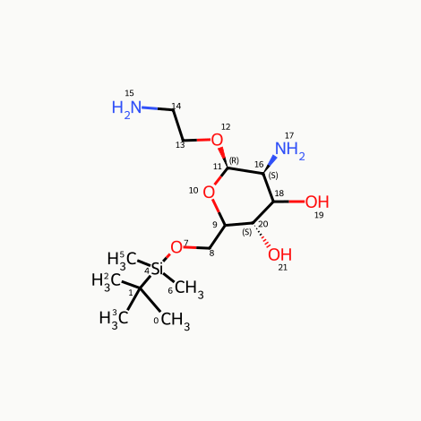 CC(C)(C)[Si](C)(C)OCC1O[C@@H](OCCN)[C@@H](N)C(O)[C@@H]1O